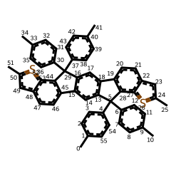 Cc1ccc(C2(c3ccc(C)cc3)c3cc4c(cc3-c3ccc5cc(C)sc5c32)C(c2ccc(C)cc2)(c2ccc(C)cc2)c2c-4ccc3cc(C)sc23)cc1